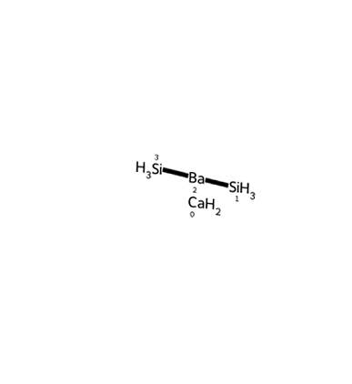 [CaH2].[SiH3][Ba][SiH3]